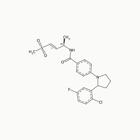 C[C@H](/C=C/S(C)(=O)=O)NC(=O)c1ccc(N2CCCC2c2cc(F)ccc2Cl)cc1